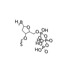 BC1CC(OC=S)C(COP(=O)(O)OP(=O)(O)OP(=O)(O)O)O1